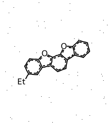 CCc1ccc2oc3c(ccc4c5ccccc5oc43)c2c1